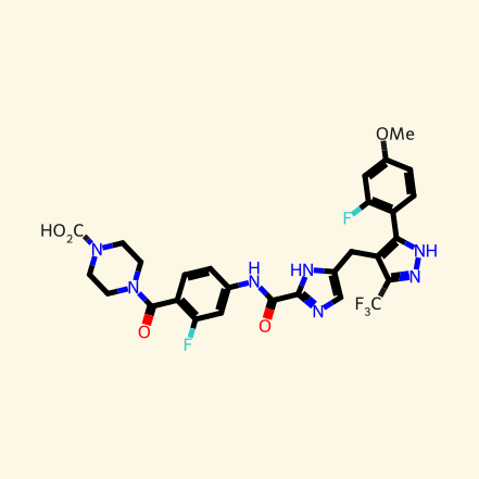 COc1ccc(-c2[nH]nc(C(F)(F)F)c2Cc2cnc(C(=O)Nc3ccc(C(=O)N4CCN(C(=O)O)CC4)c(F)c3)[nH]2)c(F)c1